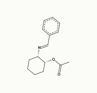 CC(=O)O[C@@H]1CCCC[C@@H]1/N=C/c1ccccc1